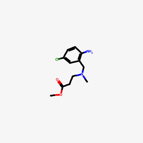 COC(=O)CCN(C)Cc1cc(Cl)ccc1N